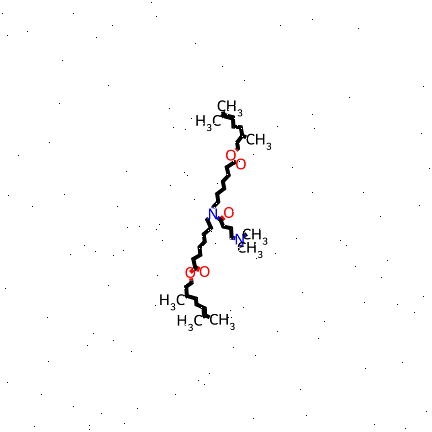 CC(C)=CCCC(C)CCOC(=O)CCCCCCCN(CCCCCCCC(=O)OCCC(C)CCC=C(C)C)C(=O)CCCN(C)C